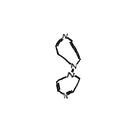 C1=CN(N2C=CN=CC2)CC=N1